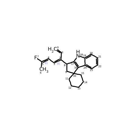 C=C/C(=C\C=C(/C)F)C1CC2(CCCCC2)c2c1[nH]c1ccccc21